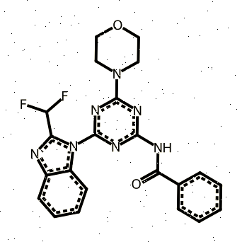 O=C(Nc1nc(N2CCOCC2)nc(-n2c(C(F)F)nc3ccccc32)n1)c1ccccc1